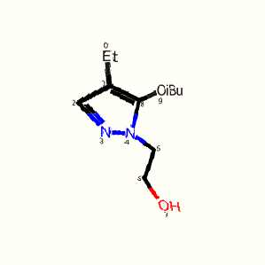 CCc1cnn(CCO)c1OCC(C)C